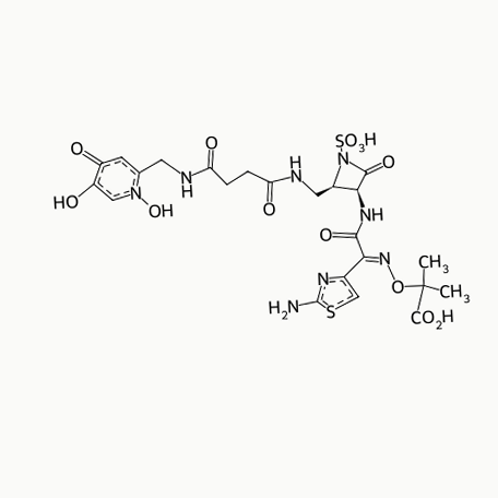 CC(C)(ON=C(C(=O)N[C@@H]1C(=O)N(S(=O)(=O)O)[C@@H]1CNC(=O)CCC(=O)NCc1cc(=O)c(O)cn1O)c1csc(N)n1)C(=O)O